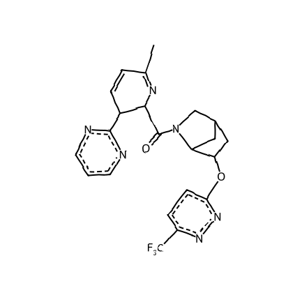 CC1=NC(C(=O)N2CC3CC(Oc4ccc(C(F)(F)F)nn4)C2C3)C(c2ncccn2)C=C1